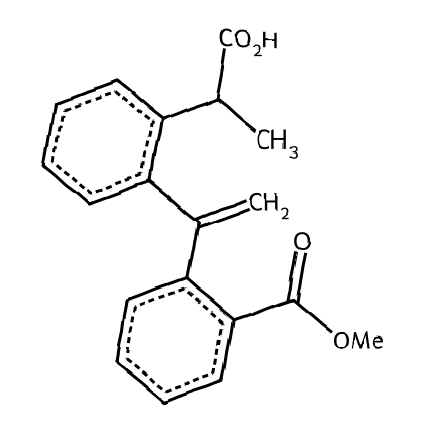 C=C(c1ccccc1C(=O)OC)c1ccccc1C(C)C(=O)O